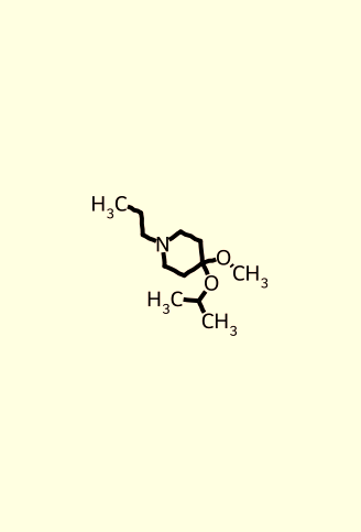 CCCN1CCC(OC)(OC(C)C)CC1